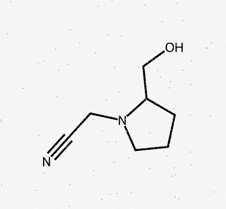 N#CCN1CCCC1CO